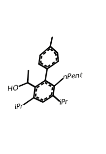 CCCCCc1c(C(C)C)cc(C(C)C)c(C(C)O)c1-c1ccc(C)cc1